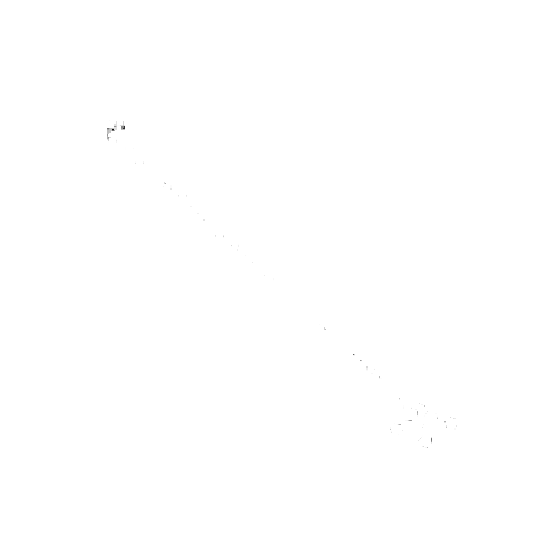 O=P(O)(O)OCCOCCOCCOCCOCCOCCOCCOCCOCCOCCOCCOCCOCCOCCOCCOCCOCCOCCOCCOCCOCCOCCOc1ccc(C=Cc2ccccc2)c(C=Cc2ccccc2)c1C=Cc1ccccc1